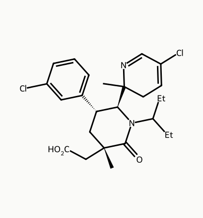 CCC(CC)N1C(=O)[C@](C)(CC(=O)O)C[C@H](c2cccc(Cl)c2)[C@H]1C1(C)CC=C(Cl)C=N1